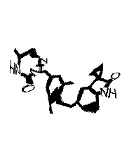 C=C1C=NN(c2cc(C)c(Cc3ccc4c(c3)C3(CC3)C(=O)N4)c(C)c2)C(=O)N1